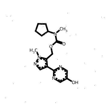 CN(C(=O)OCc1c(-c2ncc(O)cn2)cnn1C)C1CCCC1